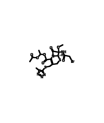 CO[C@@]1(NC(=O)CBr)C(=O)N2C(C(=O)OC(C)OC(C)=O)=C(CSc3nnnn3C)CS[C@@H]21